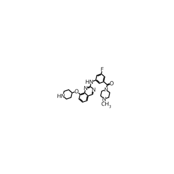 CN1CCN(C(=O)c2cc(F)cc(Nc3ncc4cccc(OC5CCNCC5)c4n3)c2)CC1